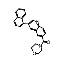 O=C(c1ccc2ncc(-c3cccc4ccccc34)cc2c1)N1CCOCC1